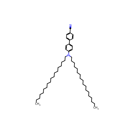 CCCCCCCCCCCCCCCCCCN(CCCCCCCCCCCCCCCCCC)c1ccc(-c2ccc(C#N)cc2)cc1